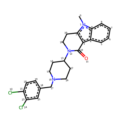 Cn1c2c(c3ccccc31)C(=O)N(C1CCN(Cc3ccc(Cl)c(Cl)c3)CC1)CC2